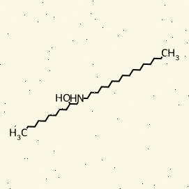 CCCCCCCCCCCCCCCCNCC(O)CCCCCCCCC